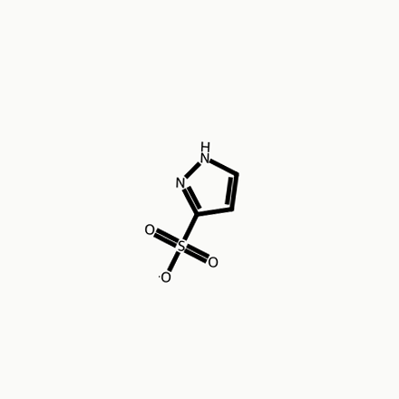 [O]S(=O)(=O)c1cc[nH]n1